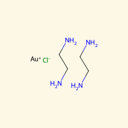 NCCN.NCCN.[Au+].[Cl-]